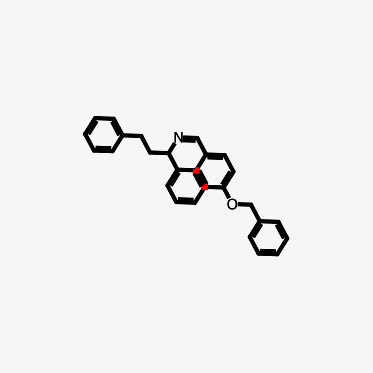 C(=N/C(CCc1ccccc1)c1ccccc1)/c1ccc(OCc2ccccc2)cc1